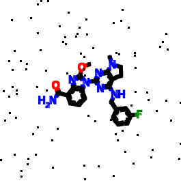 COc1nc2c(C(N)=O)cccc2n1-c1nc(NCc2cccc(F)c2)c2c(n1)N(C)CC2